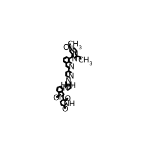 CCc1nc(-c2cccc3cc(-c4ccc(N5C[C@H]6CCN(c7cccc8c7CN(C7CCC(=O)NC7=O)C8=O)[C@H]6C5)nc4)ncc23)c2n1CCN(C(C)=O)C2